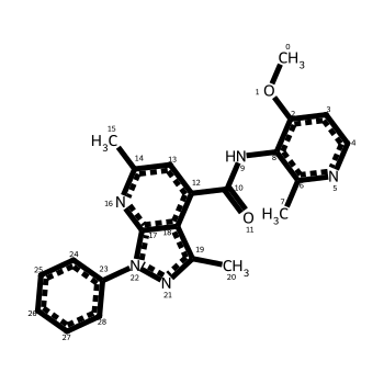 COc1ccnc(C)c1NC(=O)c1cc(C)nc2c1c(C)nn2-c1ccccc1